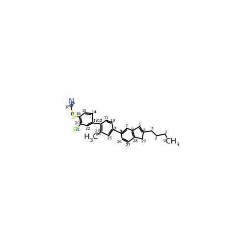 CCCCC1=Cc2cc(-c3ccc(-c4ccc(SC#N)c(F)c4)c(C)c3)ccc2C1